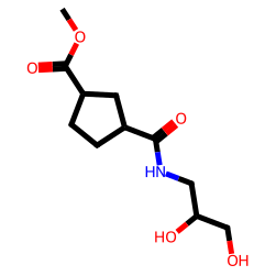 COC(=O)C1CCC(C(=O)NCC(O)CO)C1